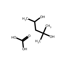 CC(O)CC(C)(C)O.O=C(O)O